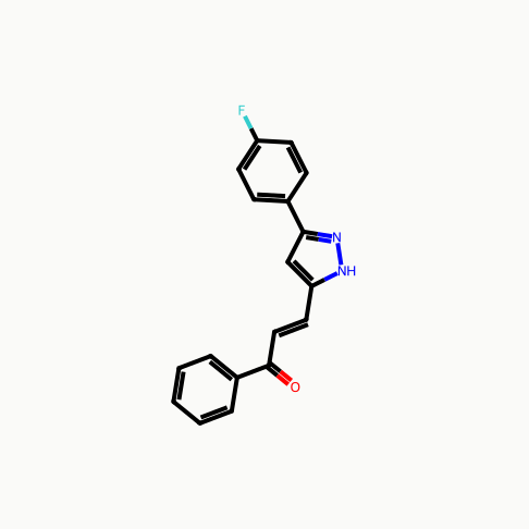 O=C(C=Cc1cc(-c2ccc(F)cc2)n[nH]1)c1ccccc1